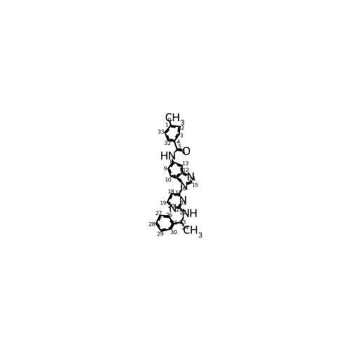 Cc1ccc(C(=O)Nc2ccc3c(c2)ncn3-c2ccnc(NC(C)c3ccccc3)n2)cc1